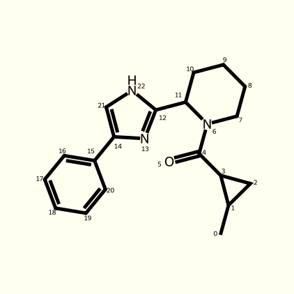 CC1CC1C(=O)N1CCCCC1c1nc(-c2ccccc2)c[nH]1